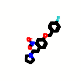 O=[N+]([O-])c1cc(OCc2ccc(F)cc2)ccc1C=CN1CCCC1